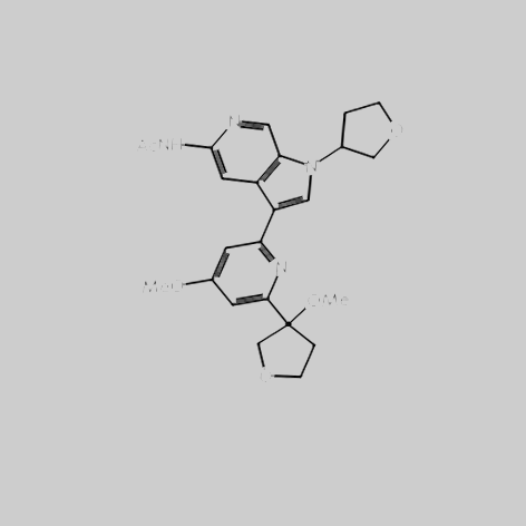 COc1cc(-c2cn(C3CCOC3)c3cnc(NC(C)=O)cc23)nc(C2(OC)CCOC2)c1